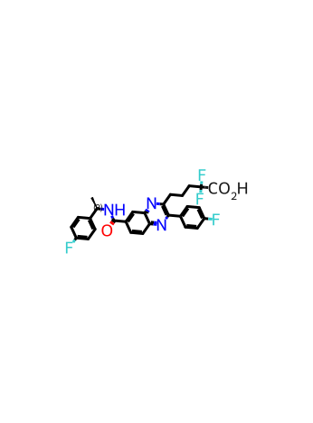 C[C@@H](NC(=O)c1ccc2nc(-c3ccc(F)cc3)c(CCCC(F)(F)C(=O)O)nc2c1)c1ccc(F)cc1